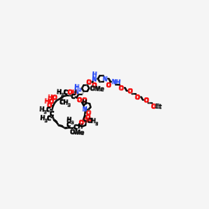 CCOCCOCCOCCOCCOCCNC(=O)CN1CCC(NC(=O)OC2CC[C@@H](C[C@@H](N)[C@@H]3C[C@@H](O)C(C)/C=C(\C)[C@@H](O)[C@@H](O)C(=O)[C@H](C)C[C@H](C)/C=C/C=C/C=C(\C)[C@@H](OC)C[C@@H]4CC[C@@H](C)[C@@](O)(O4)C(=O)C(=O)N4CCCC[C@H]4C(=O)O3)C[C@H]2OC)CC1